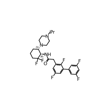 CC(C)N1CCN([C@H]2CCCC(F)(F)[C@@H]2NC(=O)Cc2cc(F)cc(-c3cc(F)cc(F)c3)c2F)CC1